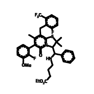 CCOC(=O)CCCNC(c1ccccc1)C1n2c(c(Cc3c(F)cccc3C(F)(F)F)c(C)c(-c3cccc(OC)c3F)c2=O)SC1(C)C